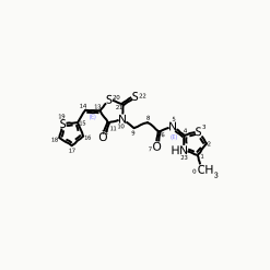 Cc1cs/c(=N/C(=O)CCN2C(=O)/C(=C\c3cccs3)SC2=S)[nH]1